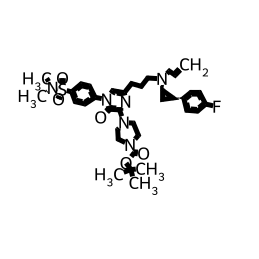 C=CCN(CCCc1cn(-c2ccc(S(=O)(=O)N(C)C)cc2)c(=O)c(N2CCN(C(=O)OC(C)(C)C)CC2)n1)[C@@H]1C[C@H]1c1ccc(F)cc1